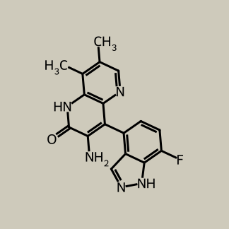 Cc1cnc2c(-c3ccc(F)c4[nH]ncc34)c(N)c(=O)[nH]c2c1C